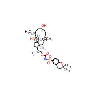 CC[C@@H]1CC[C@H](O)CCC(C)[C@H]2CCC3(C)C([C@H](C)COC(=O)NS(=O)(=O)c4ccc5c(c4)CCC(C)(C)O5)CC[C@H]3[C@@H]2[C@@H]1O